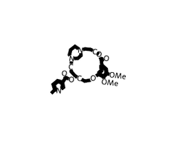 COc1cc2cc(c1OC)OCCCC(OC(=O)c1ccc(C)nc1)CCN1CCCN(CCCOC2=O)CC1